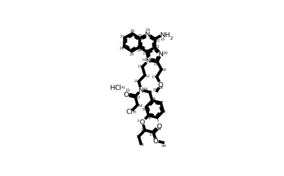 CCC(Oc1cccc(CN(CCCn2c(CCOC)nc3c(N)nc4ccccc4c32)C(=O)CCl)c1)C(=O)OC.Cl